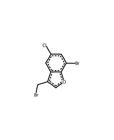 Clc1cc(Br)c2occ(CBr)c2c1